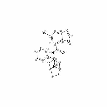 O=C(NC1CC2CCC(C1)N2Cc1ccccc1)c1cc(Br)cc2ccoc12